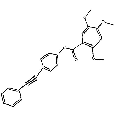 COc1cc(OC)c(C(=O)Oc2ccc(C#Cc3ccccc3)cc2)cc1OC